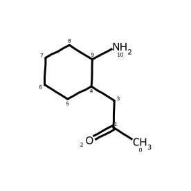 CC(=O)CC1CCCCC1N